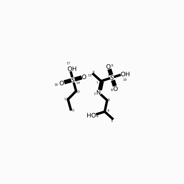 CC(=NCC(C)O)S(=O)(=O)O.CCCS(=O)(=O)O